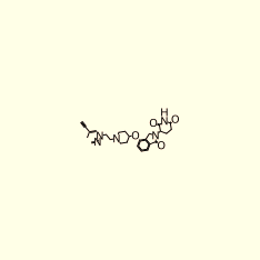 C#C/C(C)=C/N(CCN1CCC(Oc2cccc3c2CN(C2CCC(=O)NC2=O)C3=O)CC1)N=C